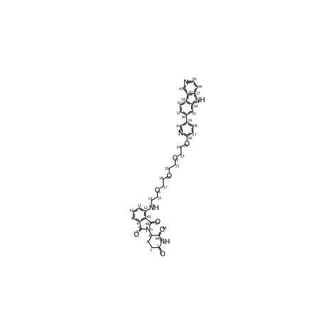 O=C1CCC(N2C(=O)c3cccc(NCCOCCOCCOCCOc4ccc(-c5ccc6c(c5)[nH]c5ccncc56)cn4)c3C2=O)C(=O)N1